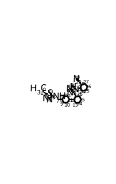 CCc1nnc(NCc2ccc(-c3ccccc3-c3nnnn3-c3ccccc3C#N)cc2)s1